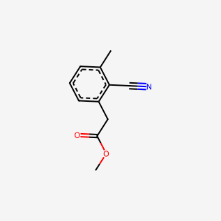 COC(=O)Cc1cccc(C)c1C#N